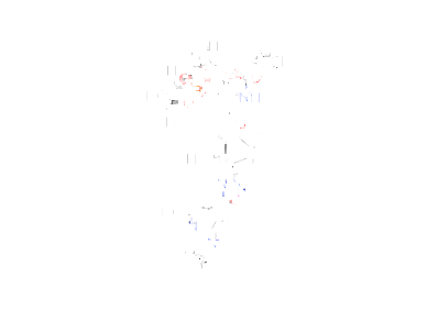 Cc1cc(-c2nc(-c3cc(F)c(OC[C@H](NC(=O)OC(C)(C)C)[C@@H](C)OP(=O)(OC(C)(C)C)OC(C)(C)C)cc3C)no2)cc(NC(C)C)n1